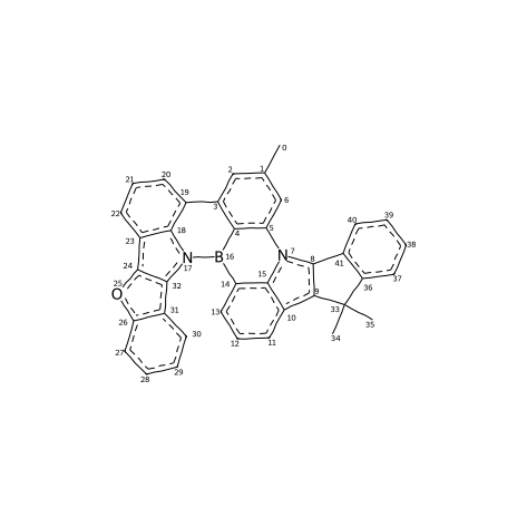 Cc1cc2c3c(c1)-n1c4c(c5cccc(c51)B3n1c3c-2cccc3c2oc3ccccc3c21)C(C)(C)c1ccccc1-4